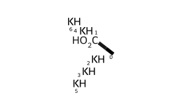 CC(=O)O.[KH].[KH].[KH].[KH].[KH]